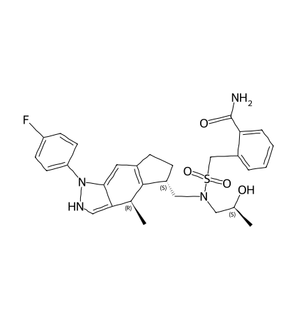 C[C@H]1C2=CNN(c3ccc(F)cc3)C2=CC2=C1[C@@H](CN(C[C@H](C)O)S(=O)(=O)Cc1ccccc1C(N)=O)CC2